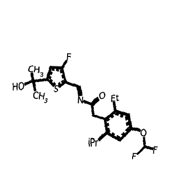 CCc1cc(OC(F)F)cc(C(C)C)c1CC(=O)N=Cc1sc(C(C)(C)O)cc1F